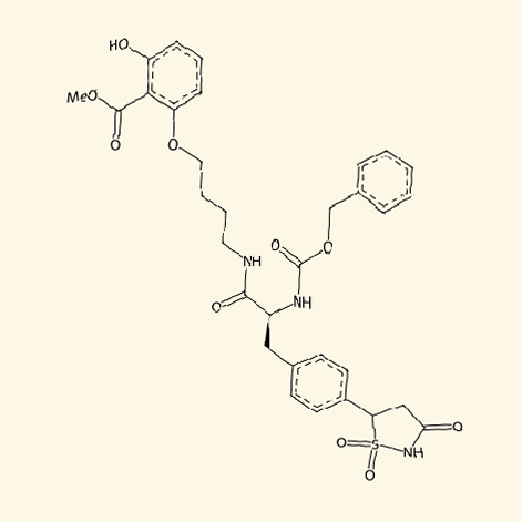 COC(=O)c1c(O)cccc1OCCCCNC(=O)[C@H](Cc1ccc(C2CC(=O)NS2(=O)=O)cc1)NC(=O)OCc1ccccc1